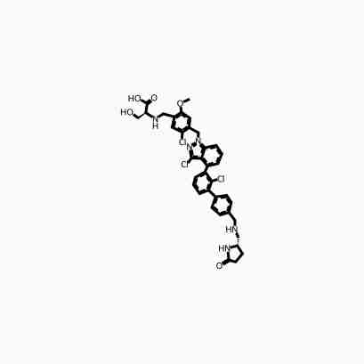 COc1cc(Cn2nc(Cl)c3c(-c4cccc(-c5ccc(CNC[C@@H]6CCC(=O)N6)cc5)c4Cl)cccc32)c(Cl)cc1CN[C@@H](CO)C(=O)O